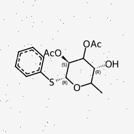 CC(=O)OC1[C@H](O)C(C)O[C@H](Sc2ccccc2)[C@H]1OC(C)=O